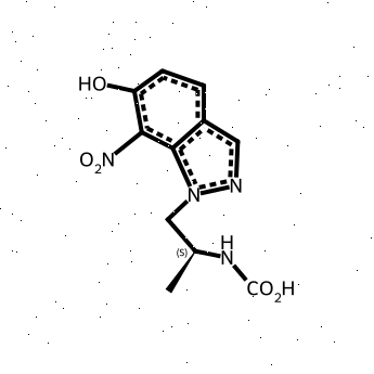 C[C@@H](Cn1ncc2ccc(O)c([N+](=O)[O-])c21)NC(=O)O